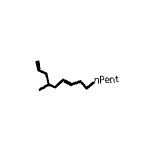 C=CCC(C)CC=CCCCCCCC